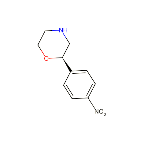 O=[N+]([O-])c1ccc([C@@H]2CNCCO2)cc1